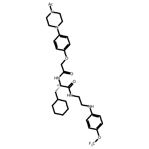 CC(=O)N1CCN(c2ccc(OCC(=O)N[C@@H](CC3CCCCC3)C(=O)NCCNc3ccc(OC(F)(F)F)cc3)cc2)CC1